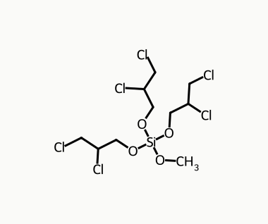 CO[Si](OCC(Cl)CCl)(OCC(Cl)CCl)OCC(Cl)CCl